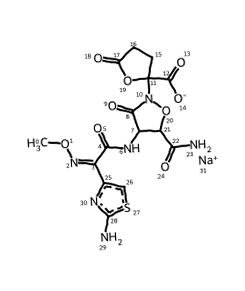 CO/N=C(\C(=O)NC1C(=O)N(C2(C(=O)[O-])CCC(=O)O2)OC1C(N)=O)c1csc(N)n1.[Na+]